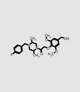 COc1cc(CO)cc(OC)c1OCC(=O)N1CC(C)N(Cc2ccc(F)cc2)CC1C